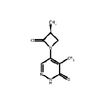 C[C@H]1CN(c2cn[nH]c(=O)c2C(F)(F)F)C1=O